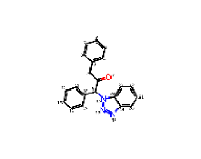 O=C(Cc1ccccc1)C(c1ccccc1)n1nnc2ccccc21